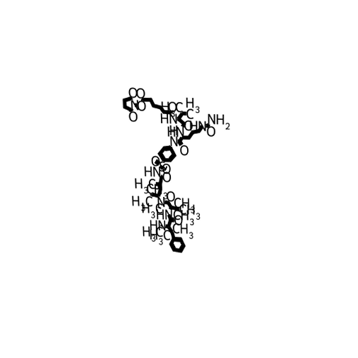 CNC(C(=O)NC(C(=O)N(C)C(/C=C(\C)C(=O)NS(=O)(=O)c1ccc(NC(=O)C(CCCNC(N)=O)NC(=O)C(NC(=O)CCCCC(=O)ON2C(=O)CCC2=O)C(C)C)cc1)C(C)C)C(C)(C)C)C(C)(C)c1ccccc1